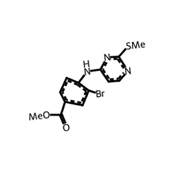 COC(=O)c1ccc(Nc2ccnc(SC)n2)c(Br)c1